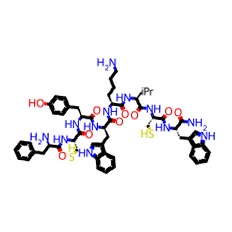 CC(C)[C@H](NC(=O)[C@H](CCCCN)NC(=O)[C@@H](Cc1c[nH]c2ccccc12)NC(=O)[C@H](Cc1ccc(O)cc1)NC(=O)[C@H](CS)NC(=O)[C@H](N)Cc1ccccc1)C(=O)N[C@@H](CS)C(=O)N[C@@H](Cc1c[nH]c2ccccc12)C(N)=O